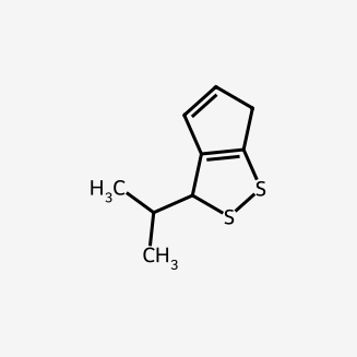 CC(C)C1SSC2=C1C=CC2